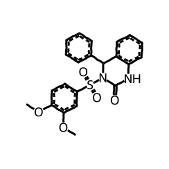 COc1ccc(S(=O)(=O)N2C(=O)Nc3ccccc3C2c2ccccc2)cc1OC